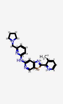 Cc1cccnc1-c1nc2cc(Nc3cccc(CN4CCCC4)n3)ncc2s1